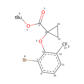 CC(C)(C)OC(=O)C1(Oc2c(Br)cccc2C(F)(F)F)CC1